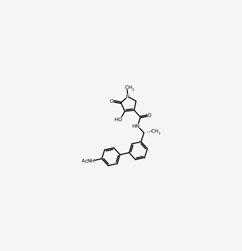 CC(=O)Nc1ccc(-c2cccc([C@@H](C)NC(=O)C3=C(O)C(=O)N(C)C3)c2)cc1